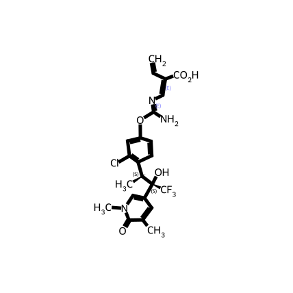 C=C/C(=C\N=C(/N)Oc1ccc([C@H](C)[C@](O)(c2cc(C)c(=O)n(C)c2)C(F)(F)F)c(Cl)c1)C(=O)O